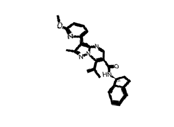 COc1cccc(-c2c(C)nn3c(C(C)C)c(C(=O)N[C@H]4CCc5ccccc54)cnc23)n1